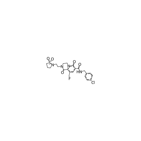 O=C(NCc1ccc(Cl)cc1)c1cc(CF)c2n(c1=O)CCN(CCN1CCCS1(=O)=O)C2=O